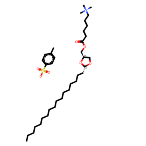 CCCCCCCCCCCCCCCCC[C@H]1OC[C@H](COC(=O)CCCCC[N+](C)(C)C)O1.Cc1ccc(S(=O)(=O)[O-])cc1